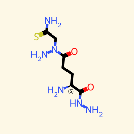 NNC(=O)[C@@H](N)CCC(=O)N(N)CC(N)=S